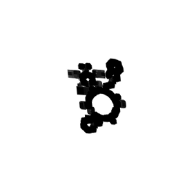 CCC1OC(=O)CC(O)C(C)C(O[C@@H]2O[C@H](C)[C@@H](O)[C@H](N(C)C)[C@H]2O)C(CCN2Cc3ccccc3C2)CC(C)C(=O)C=CC(C)=CC1CN1CCCCC1